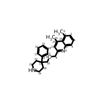 Cc1cccc2nc(COCC3(c4ccccc4)CCNCC3)cc(C)c12